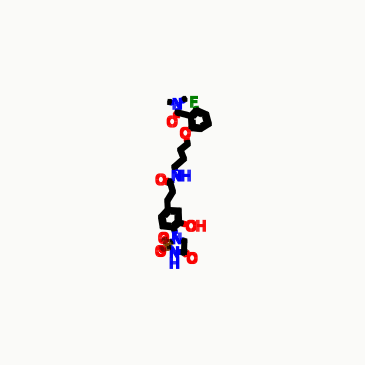 CN(C)C(=O)c1c(F)cccc1OCCCCNC(=O)CCc1ccc(N2CC(=O)NS2(=O)=O)c(O)c1